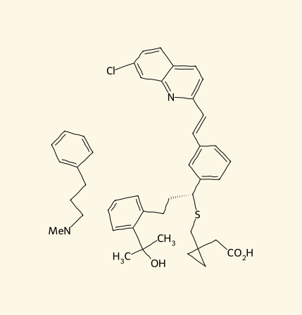 CC(C)(O)c1ccccc1CC[C@@H](SCC1(CC(=O)O)CC1)c1cccc(C=Cc2ccc3ccc(Cl)cc3n2)c1.CNCCCc1ccccc1